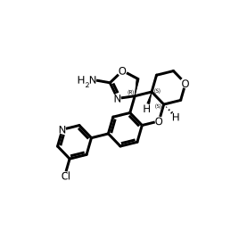 NC1=N[C@@]2(CO1)c1cc(-c3cncc(Cl)c3)ccc1O[C@@H]1COCC[C@H]12